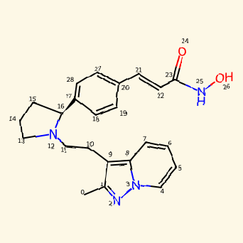 Cc1nn2ccccc2c1CCN1CCC[C@H]1c1ccc(C=CC(=O)NO)cc1